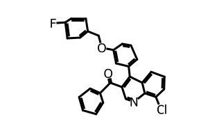 O=C(c1ccccc1)c1cnc2c(Cl)cccc2c1-c1cccc(OCc2ccc(F)cc2)c1